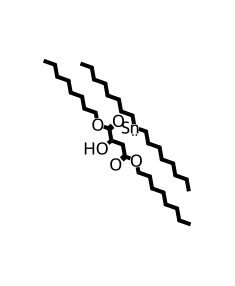 CCCCCCCCOC(=O)CC(O)C(=O)OCCCCCCCC.CCCCCCC[CH2][Sn][CH2]CCCCCCC